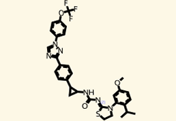 COc1ccc(C(C)C)c(N2CCS/C2=N\C(=O)NC2CC2c2ccc(-c3ncn(-c4ccc(OC(F)(F)F)cc4)n3)cc2)c1